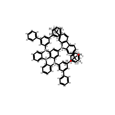 CC(C)(C)c1ccc2c3ccc(C(C)(C)C)cc3n(-c3cc4c5c(c3)N(c3cc(-c6ccccc6)cc(-c6ccccc6)c3)c3ccccc3B5c3ccccc3N4c3cc(-c4ccccc4)cc(-c4ccccc4)c3)c2c1